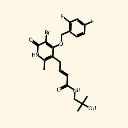 Cc1[nH]c(=O)c(Br)c(OCc2ccc(F)cc2F)c1C/C=C/C(=O)NCC(C)(C)O